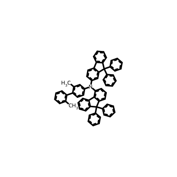 Cc1ccccc1-c1ccc(N(c2ccc3c(c2)C(c2ccccc2)(c2ccccc2)c2ccccc2-3)c2cccc3c2-c2ccccc2C3(c2ccccc2)c2ccccc2)cc1C